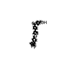 O=C(c1ccc(-c2ccc(OCC3CCN(CC4(C(F)(F)F)CCC4)CC3)nc2)cc1)N1CCC(CO)CC1